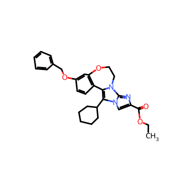 CCOC(=O)c1cn2c(C3CCCCC3)c3n(c2n1)CCOc1cc(OCc2ccccc2)ccc1-3